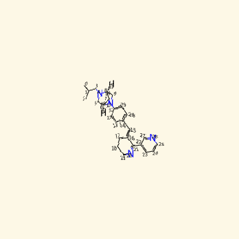 CC(C)CN1C[C@@H]2C[C@H]1CN2c1ccc(C=C2CCCN=C2c2cccnc2)cc1